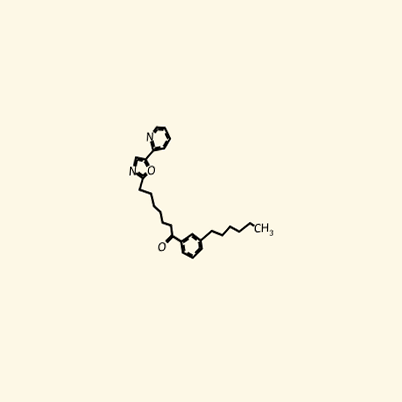 CCCCCCc1cccc(C(=O)CCCCCCc2ncc(-c3ccccn3)o2)c1